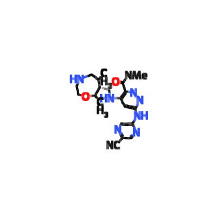 CNC(=O)c1nnc(Nc2cnc(C#N)cn2)cc1NC[C@H]1C(C)CNCCOC1C